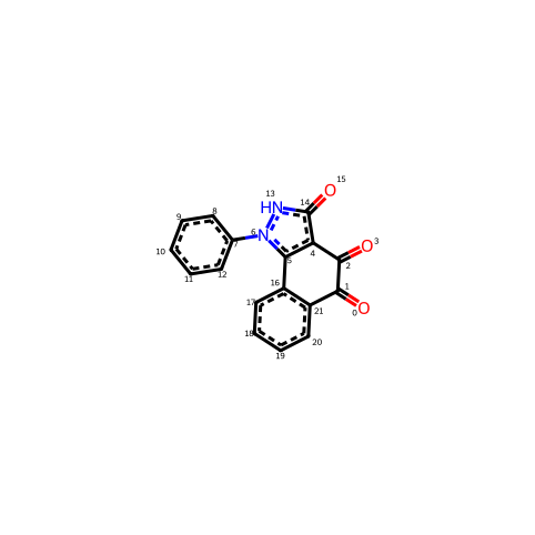 O=C1C(=O)c2c(n(-c3ccccc3)[nH]c2=O)-c2ccccc21